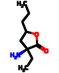 CCCC1C[C@@](N)(CC)C(=O)O1